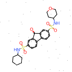 O=C1c2cc(S(=O)(=O)NC3CCCCC3)ccc2-c2ccc(S(=O)(=O)NC3CCOCC3)cc21